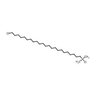 C[Si](C)(Cl)CCCCCCCCCCCCCCCCCCCCCCCCl